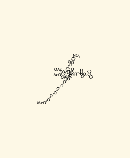 COCCOCCOCCOCCOCCOCCOCCOCCC(=O)N[C@@H](CCCCNC(=O)OCC1c2ccccc2-c2ccccc21)C(=O)Nc1cc(COC(=O)Oc2ccc([N+](=O)[O-])cc2)ccc1OC1OC(COC(C)=O)C(OC(C)=O)C(OC(C)=O)C1OC(C)=O